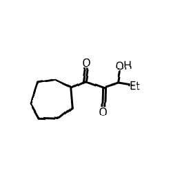 CCC(O)C(=O)C(=O)C1CCCCCC1